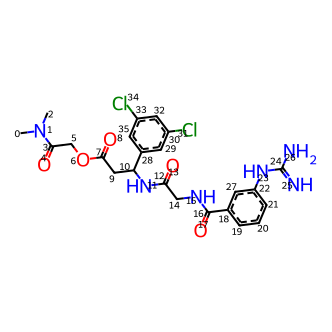 CN(C)C(=O)COC(=O)CC(NC(=O)CNC(=O)c1cccc(NC(=N)N)c1)c1cc(Cl)cc(Cl)c1